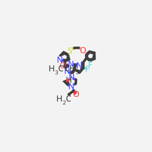 C=CC(=O)N1CCN(c2nc(=O)n3c4nc(c(F)cc24)-c2c(F)cccc2OCCSc2ccnc(C(C)C)c2-3)C2C[C@H]21